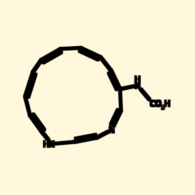 O=C(O)NC1=CC=CC=CC=CC=CNC=CN=C1